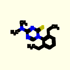 CCc1cccc(CC)c1-n1cnc(N(C)C)nc1=S